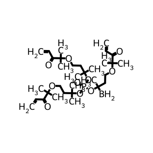 BC(C)(CCOC(C)(C)C(=O)C=C)OP(=O)(OC(C)(C)CCOC(C)(C)C(=O)C=C)OC(C)(C)CCOC(C)(C)C(=O)C=C